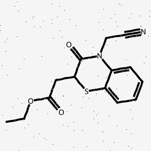 CCOC(=O)CC1Sc2ccccc2N(CC#N)C1=O